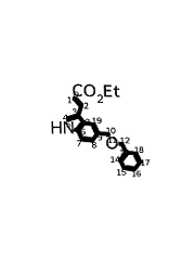 CCOC(=O)C=Cc1c[nH]c2ccc(COCc3ccccc3)cc12